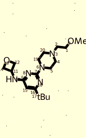 COCCN1CCN(c2nc(NC3COC3)cc(C(C)(C)C)n2)CC1